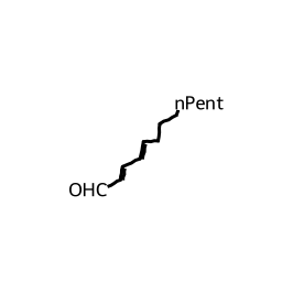 CCCCCCCCC=CC=CC=O